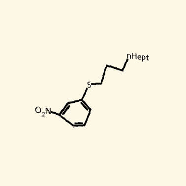 CCCCCCCCCCSc1cc[c]c([N+](=O)[O-])c1